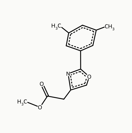 COC(=O)Cc1coc(-c2cc(C)cc(C)c2)n1